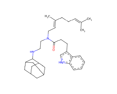 CC(C)=CCC/C(C)=C/CN(CCNC1C2CC3CC(C2)CC1C3)C(=O)CCc1c[nH]c2ccccc12